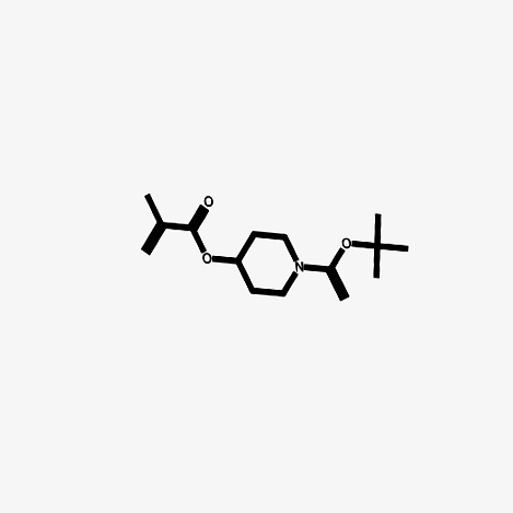 C=C(C)C(=O)OC1CCN(C(=C)OC(C)(C)C)CC1